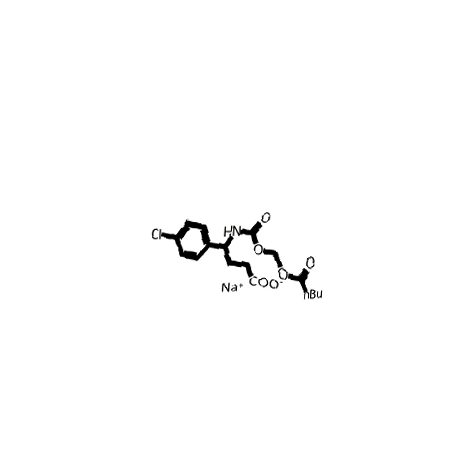 CCCCC(=O)OCOC(=O)NC(CCC(=O)[O-])c1ccc(Cl)cc1.[Na+]